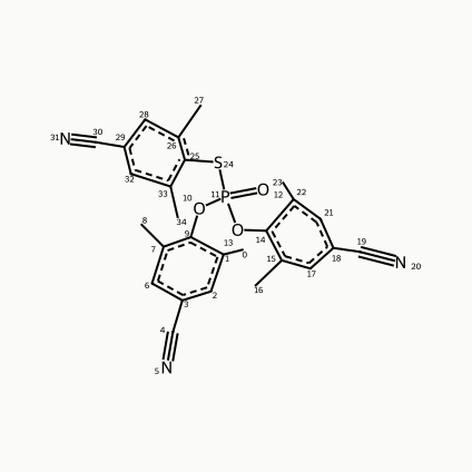 Cc1cc(C#N)cc(C)c1OP(=O)(Oc1c(C)cc(C#N)cc1C)Sc1c(C)cc(C#N)cc1C